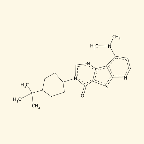 CN(C)c1ccnc2sc3c(=O)n(C4CCC(C(C)(C)C)CC4)cnc3c12